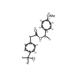 CCC(C)(F)c1ccc(CC(=O)OC(C)c2ccc(OC)cc2)cc1